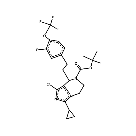 CC(C)(C)OC(=O)N1CCn2c(C3CC3)nc(Cl)c2C1CCc1ccc(OC(F)(F)F)c(F)c1